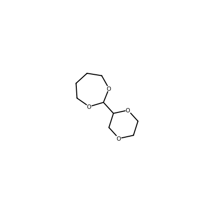 C1CCOC(C2COCCO2)OC1